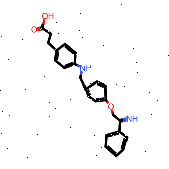 N=C(COc1ccc(CNc2ccc(CCC(=O)O)cc2)cc1)c1ccccc1